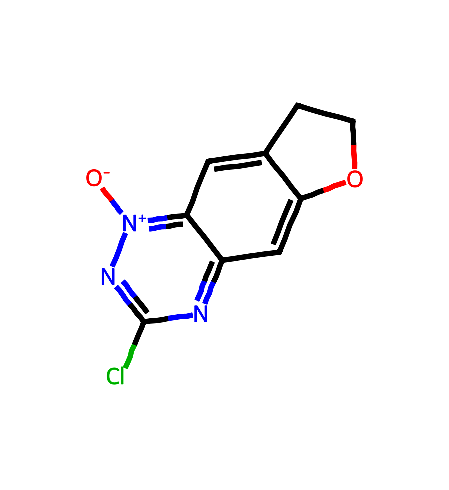 [O-][n+]1nc(Cl)nc2cc3c(cc21)CCO3